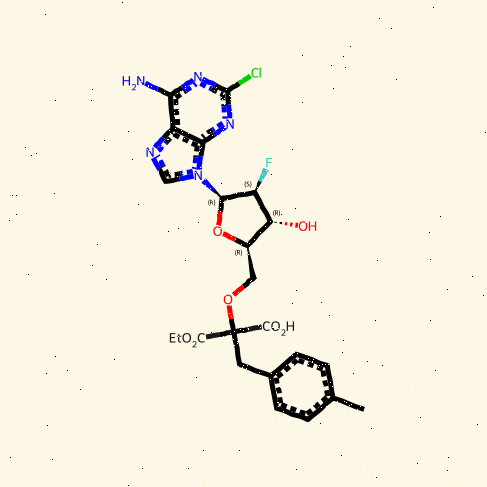 CCOC(=O)C(Cc1ccc(C)cc1)(OC[C@H]1O[C@@H](n2cnc3c(N)nc(Cl)nc32)[C@@H](F)[C@@H]1O)C(=O)O